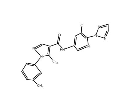 Cc1cccc(-n2ncc(C(=O)Nc3cnc(-n4nccn4)c(Cl)c3)c2C(F)(F)F)c1